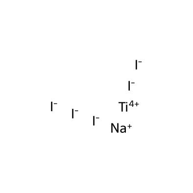 [I-].[I-].[I-].[I-].[I-].[Na+].[Ti+4]